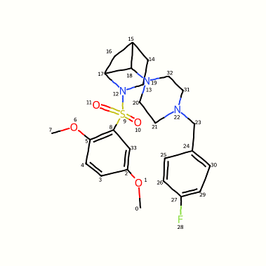 COc1ccc(OC)c(S(=O)(=O)N2CCC3CC2C3N2CCN(Cc3ccc(F)cc3)CC2)c1